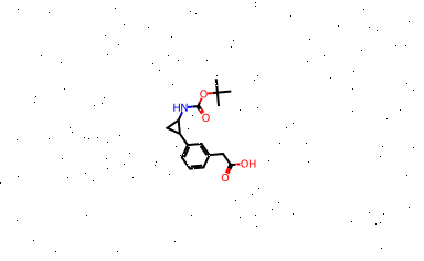 CC(C)(C)OC(=O)NC1CC1c1cccc(CC(=O)O)c1